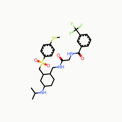 CSc1ccc(S(=O)(=O)CC2CC(NC(C)C)CCC2CNC(=O)CNC(=O)c2cccc(C(F)(F)F)c2)cc1